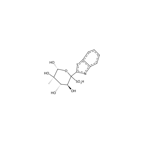 C[C@]1(O)[C@H](O)OC(c2nc3ccccc3s2)(S(=O)(=O)O)[C@@H](O)[C@@H]1O